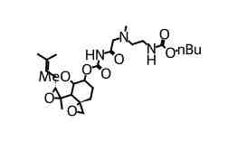 CCCCOC(=O)NCCN(C)CC(=O)NC(=O)OC1CC[C@]2(CO2)C(C2(C)O[C@@H]2CC=C(C)C)C1OC